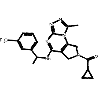 Cc1nnc2nc(NC(C)c3cccc(C(F)(F)F)c3)c3c(n12)CN(C(=O)C1CC1)C3